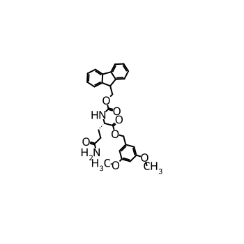 COc1cc(COC(=O)[C@H](CCC(N)=O)NC(=O)OCC2c3ccccc3-c3ccccc32)cc(OC)c1